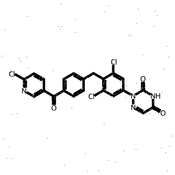 O=C(c1ccc(Cc2c(Cl)cc(-n3ncc(=O)[nH]c3=O)cc2Cl)cc1)c1ccc(Cl)nc1